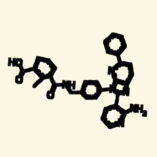 Cc1c(C(=O)O)cccc1C(=O)NCc1ccc(-n2c(-c3cccnc3N)nc3ccc(-c4ccccc4)nc32)cc1